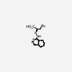 CCC(C)C/C(=N\Nc1nncc2ccccc12)C(=O)O